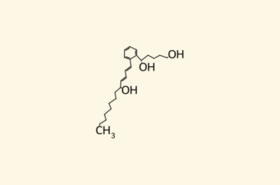 CCCCCCCC[C@H](O)/C=C/C=C/c1ccccc1[C@@H](O)CCCCO